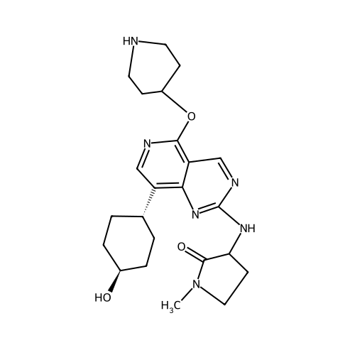 CN1CCC(Nc2ncc3c(OC4CCNCC4)ncc([C@H]4CC[C@H](O)CC4)c3n2)C1=O